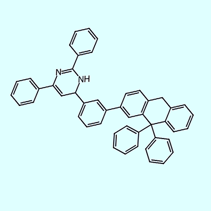 C1=C(c2ccccc2)N=C(c2ccccc2)NC1c1cccc(-c2ccc3c(c2)C(c2ccccc2)(c2ccccc2)c2ccccc2C3)c1